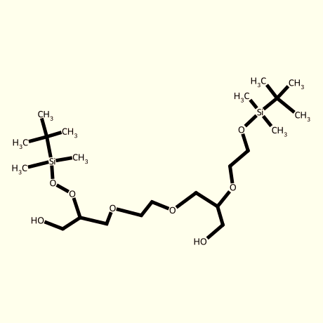 CC(C)(C)[Si](C)(C)OCCOC(CO)COCCOCC(CO)OO[Si](C)(C)C(C)(C)C